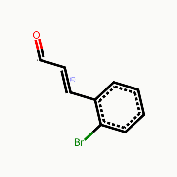 O=[C]/C=C/c1ccccc1Br